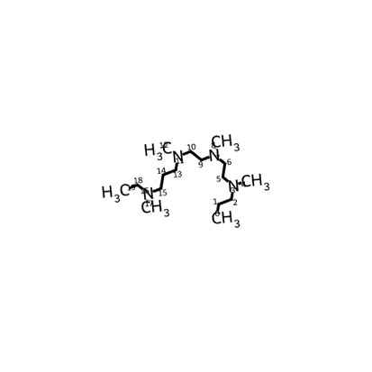 CCCN(C)CCN(C)CCN(C)CCCN(C)CC